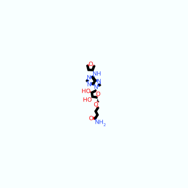 NC(=O)CCCOC[C@H]1O[C@@H](n2cnc3c(N[C@@H]4CCOC4)ncnc32)[C@H](O)[C@@H]1O